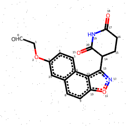 O=CCOc1ccc2c(ccc3onc(C4CCC(=O)NC4=O)c32)c1